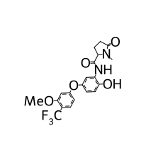 COc1cc(Oc2ccc(O)c(NC(=O)C3CCC(=O)N3C)c2)ccc1C(F)(F)F